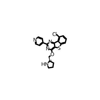 Clc1cccc2sc3c(OC[C@H]4CCCN4)nc(-c4ccncc4)nc3c12